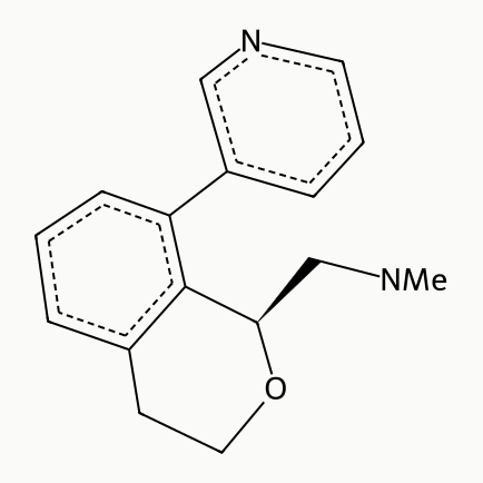 CNC[C@H]1OCCc2cccc(-c3cccnc3)c21